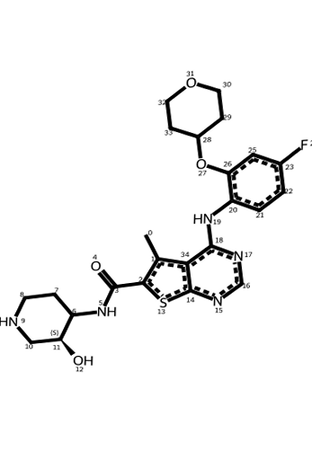 Cc1c(C(=O)NC2CCNC[C@@H]2O)sc2ncnc(Nc3ccc(F)cc3OC3CCOCC3)c12